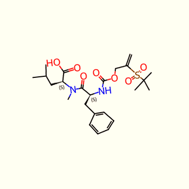 C=C(COC(=O)N[C@@H](Cc1ccccc1)C(=O)N(C)[C@@H](CC(C)C)C(=O)O)S(=O)(=O)C(C)(C)C